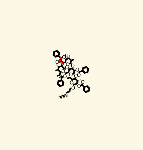 CCC1O[C@@H](O[C@H]2C(COC(=O)c3ccccc3)O[C@@H](O[C@@H]3C(CC)O[C@@H](OCCCN=[N+]=[N-])C(OC(=O)c4ccccc4)[C@H]3C)C(OC(=O)c3ccccc3)[C@H]2O[C@@H]2OC3COC(c4ccccc4)O[C@H]3[C@H](C)C2C)C(OC(C)=O)[C@@H](C)[C@@H]1C